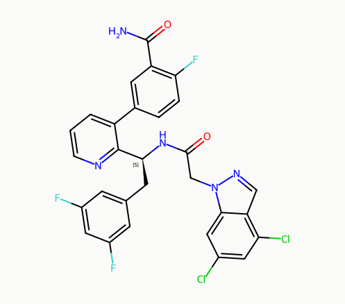 NC(=O)c1cc(-c2cccnc2[C@H](Cc2cc(F)cc(F)c2)NC(=O)Cn2ncc3c(Cl)cc(Cl)cc32)ccc1F